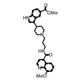 COC(=O)c1ccc2[nH]cc(C3CCN(CCCNC(=O)c4ccnc5c(OC)cccc45)CC3)c2c1